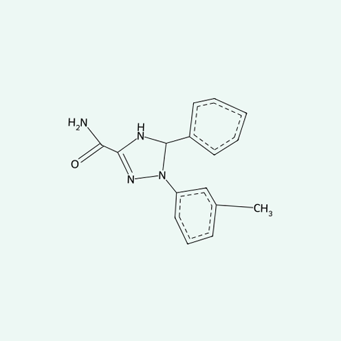 Cc1cccc(N2N=C(C(N)=O)NC2c2ccccc2)c1